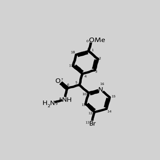 COc1ccc(C(C(=O)NN)c2cc(Br)ccn2)cc1